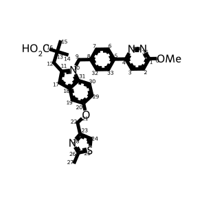 COc1ccc(-c2ccc(Cn3c(CC(C)(C)C(=O)O)cc4cc(OCc5csc(C)n5)ccc43)cc2)nn1